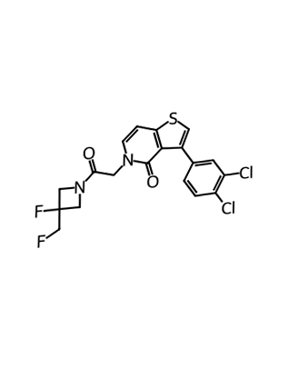 O=C(Cn1ccc2scc(-c3ccc(Cl)c(Cl)c3)c2c1=O)N1CC(F)(CF)C1